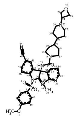 COc1ccc(S(=O)(=O)N2C(=O)[C@@](NC(=O)N3CCC(C4CCN(C5COC5)CC4)CC3)(c3cccnc3OC)c3cc(C#N)ccc32)cc1